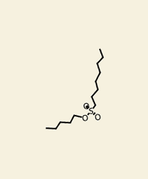 CCCCCCCCS(=O)(=O)OCCCCC